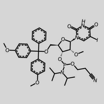 COc1ccc(C(OC[C@H]2O[C@@H](n3cc(I)c(=O)[nH]c3=O)[C@H](OC)[C@@H]2OP(OCCC#N)N(C(C)C)C(C)C)(c2ccccc2)c2ccc(OC)cc2)cc1